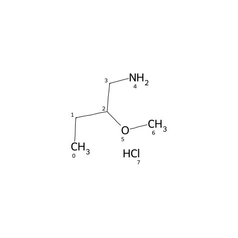 CCC(CN)OC.Cl